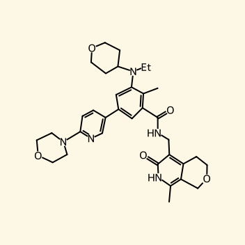 CCN(c1cc(-c2ccc(N3CCOCC3)nc2)cc(C(=O)NCc2c3c(c(C)[nH]c2=O)COCC3)c1C)C1CCOCC1